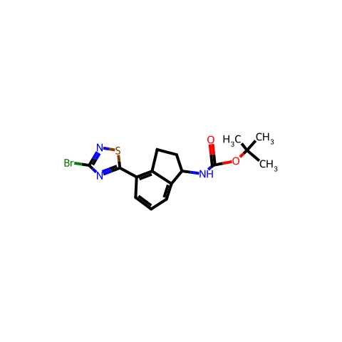 CC(C)(C)OC(=O)NC1CCc2c(-c3nc(Br)ns3)cccc21